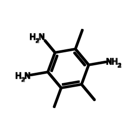 Cc1c(C)c(N)c(N)c(C)c1N